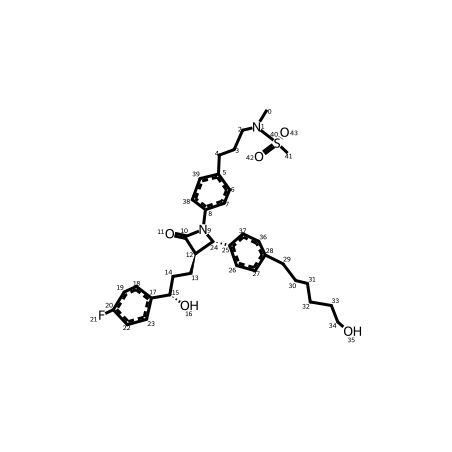 CN(CCCc1ccc(N2C(=O)[C@H](CC[C@H](O)c3ccc(F)cc3)[C@H]2c2ccc(CCCCCCO)cc2)cc1)S(C)(=O)=O